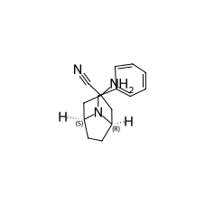 N#CC1(N)C[C@H]2CC[C@@H](C1)N2Cc1ccccc1